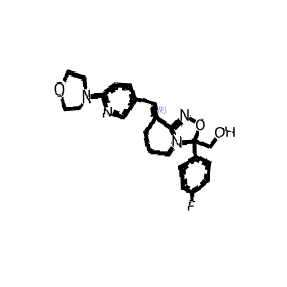 OCC1(c2ccc(F)cc2)ON=C2/C(=C/c3ccc(N4CCOCC4)nc3)CCCN21